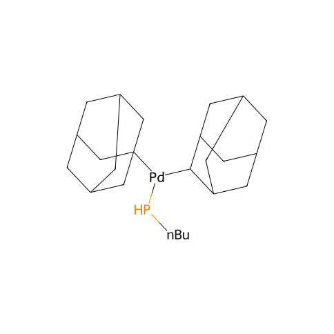 CCCC[PH][Pd]([CH]1C2CC3CC(C2)CC1C3)[C]12CC3CC(CC(C3)C1)C2